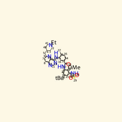 CCN1CCC(Cc2ccc3ncnc(Nc4cc(C(=O)Nc5cc(C(C)(C)C)cc(NS(C)(=O)=O)c5OC)ccc4C)c3n2)CC1